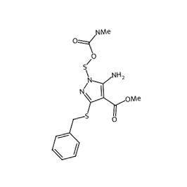 CNC(=O)OSn1nc(SCc2ccccc2)c(C(=O)OC)c1N